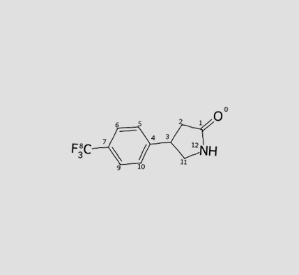 O=C1CC(c2ccc(C(F)(F)F)cc2)CN1